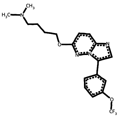 CN(C)CCCCOc1ccc2ncc(-c3cccc(OC(F)(F)F)c3)n2n1